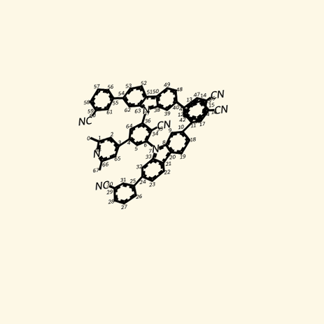 Cc1cc(-c2cc(-n3c4cc(-c5cccc(C#N)c5)ccc4c4ccc(-c5cccc(C#N)c5)cc43)c(C#N)c(-n3c4cc(-c5cccc(C#N)c5)ccc4c4ccc(-c5cccc(C#N)c5)cc43)c2)cc(C)n1